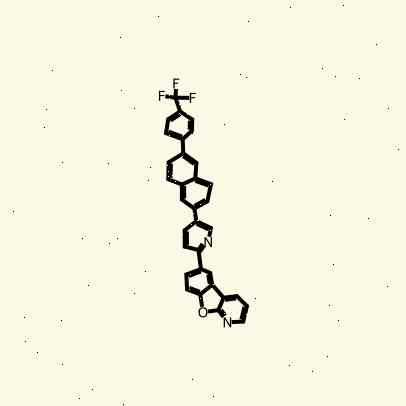 FC(F)(F)c1ccc(-c2ccc3cc(-c4ccc(-c5ccc6oc7ncccc7c6c5)nc4)ccc3c2)cc1